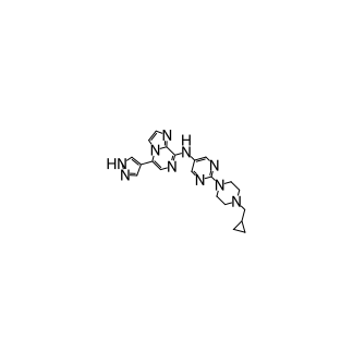 c1cn2c(-c3cn[nH]c3)cnc(Nc3cnc(N4CCN(CC5CC5)CC4)nc3)c2n1